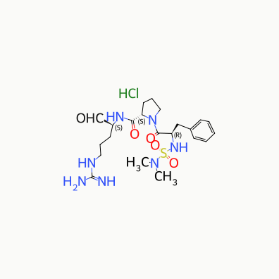 CN(C)S(=O)(=O)N[C@H](Cc1ccccc1)C(=O)N1CCC[C@H]1C(=O)N[C@H](C=O)CCCNC(=N)N.Cl